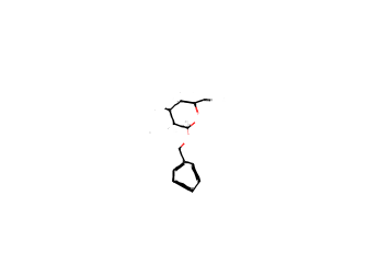 CC(=O)OCC1O[C@@H](OCc2ccccc2)[C@@H](OC(C)=O)C(C)[C@@H]1C